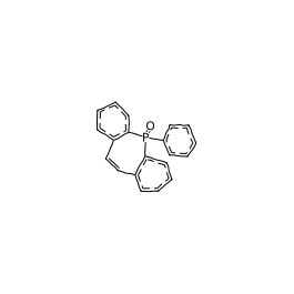 O=P1(c2ccccc2)c2ccccc2C=Cc2ccccc21